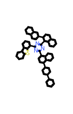 c1ccc(-c2ccc(-c3ccc(-c4nc(-c5c(-c6ccc7ccccc7c6)ccc6ccccc56)nc(-c5cccc6c5sc5ccccc56)n4)c4ccccc34)cc2)cc1